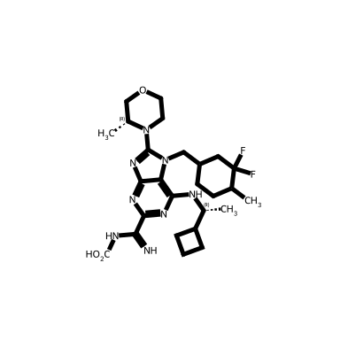 CC1CCC(Cn2c(N3CCOC[C@H]3C)nc3nc(C(=N)NC(=O)O)nc(N[C@H](C)C4CCC4)c32)CC1(F)F